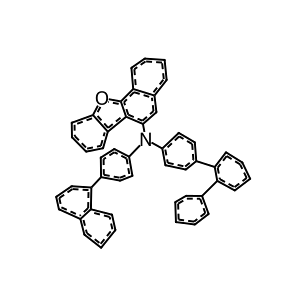 c1ccc(-c2ccccc2-c2ccc(N(c3ccc(-c4cccc5ccccc45)cc3)c3cc4ccccc4c4oc5ccccc5c34)cc2)cc1